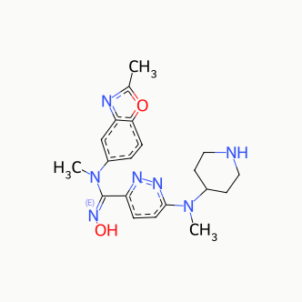 Cc1nc2cc(N(C)/C(=N/O)c3ccc(N(C)C4CCNCC4)nn3)ccc2o1